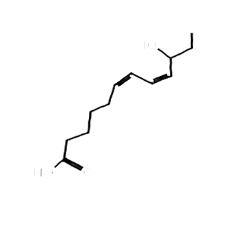 CCC(O)/C=C\C=C/CCCCC(=O)O